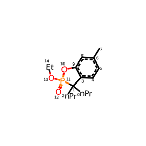 CCCC1(CCC)c2ccc(C)cc2OP1(=O)OCC